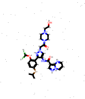 CC(C)Sc1ccc(OC(F)F)c(-c2nn(CC(=O)N3CCN(CCO)CC3)cc2NC(=O)c2cnn3cccnc23)c1